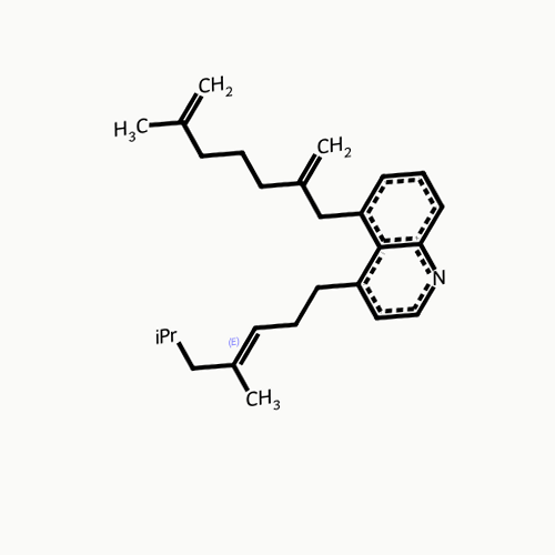 C=C(C)CCCC(=C)Cc1cccc2nccc(CC/C=C(\C)CC(C)C)c12